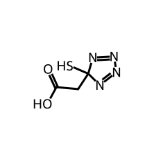 O=C(O)CC1(S)N=NN=N1